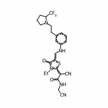 CCn1c(=C(C#N)C(=O)NCC#N)sc(=CNc2cccc(CCN3CCCC3C(F)(F)F)c2)c1=O